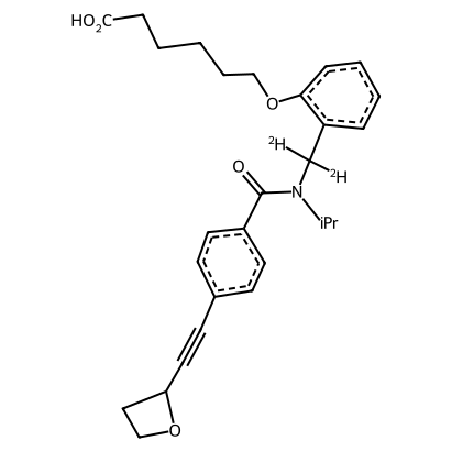 [2H]C([2H])(c1ccccc1OCCCCCC(=O)O)N(C(=O)c1ccc(C#CC2CCO2)cc1)C(C)C